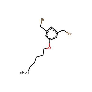 CCCCCCCCCCCCCCOc1cc(CBr)cc(CBr)c1